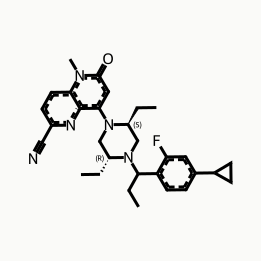 CCC(c1ccc(C2CC2)cc1F)N1C[C@H](CC)N(c2cc(=O)n(C)c3ccc(C#N)nc23)C[C@H]1CC